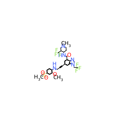 COc1cc(S(C)(=O)=O)ccc1NCC#Cc1cc(C(=O)NC2CCN(C)CC2C(F)(F)F)c2ncn(CC(F)(F)F)c2c1